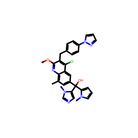 COc1nc2c(C)cc(C(O)(c3cccn3C)c3cncn3C)cc2c(Cl)c1Cc1ccc(-n2cccn2)cc1